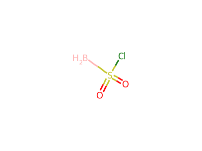 BS(=O)(=O)Cl